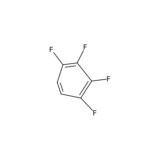 Fc1ccc(F)c(F)c1F